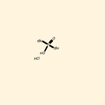 CC(C)(C)P(=O)(O)C(C)(C)C.Cl